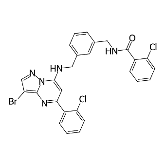 O=C(NCc1cccc(CNc2cc(-c3ccccc3Cl)nc3c(Br)cnn23)c1)c1ccccc1Cl